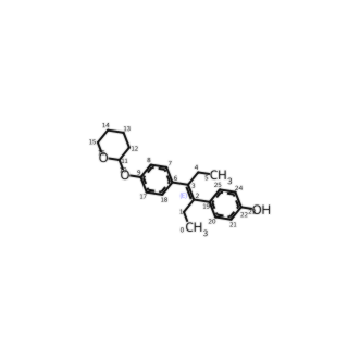 CC/C(=C(/CC)c1ccc(OC2CCCCO2)cc1)c1ccc(O)cc1